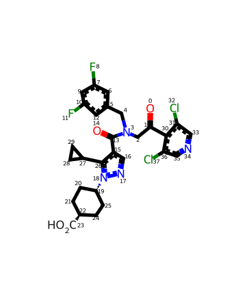 O=C(CN(Cc1cc(F)cc(F)c1)C(=O)c1cnn([C@H]2CC[C@H](C(=O)O)CC2)c1C1CC1)c1c(Cl)cncc1Cl